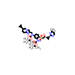 Cc1ccnc([C@H]2C[C@@H]2C(=O)CS(=O)(=O)c2ccc(N(Cc3cn4cc(C5CC5)ccc4n3)C(=O)OC(C)(C)C)cc2NC(=O)OC(C)(C)C)n1